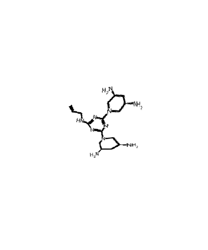 C=CCNc1nc(N2C[C@H](N)C[C@H](N)C2)nc(N2C[C@H](N)C[C@H](N)C2)n1